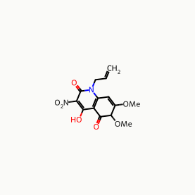 C=CCn1c2c(c(O)c([N+](=O)[O-])c1=O)C(=O)C(OC)C(OC)=C2